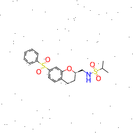 CC(C)S(=O)(=O)NC[C@H]1CCc2ccc(S(=O)(=O)c3ccccc3)cc2O1